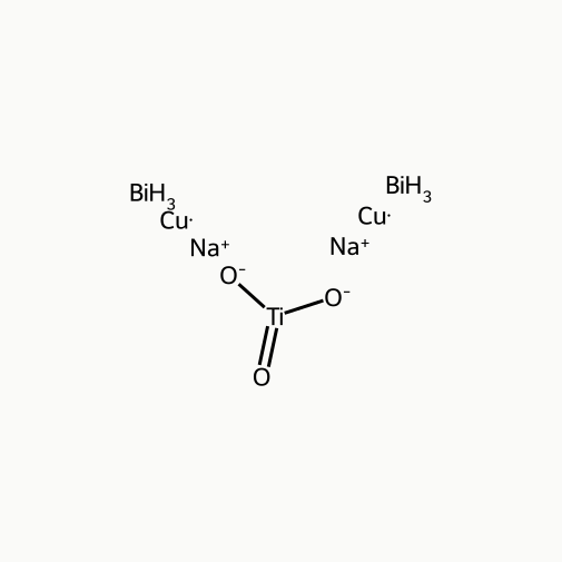 [BiH3].[BiH3].[Cu].[Cu].[Na+].[Na+].[O]=[Ti]([O-])[O-]